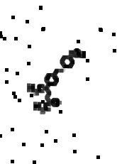 CCCC[C@H]1CC[C@H](CCc2ccc(C(C)CCC(C)[O])cc2)CC1